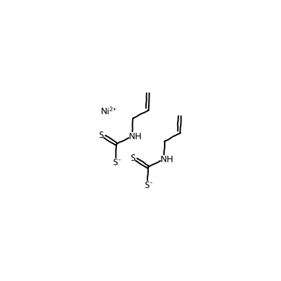 C=CCNC(=S)[S-].C=CCNC(=S)[S-].[Ni+2]